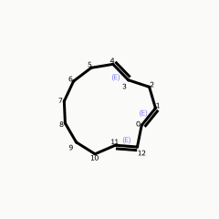 C1=C/C/C=C/CCCCCC/C=C/1